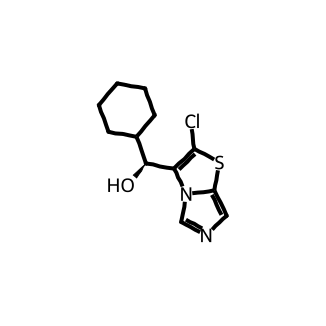 O[C@H](c1c(Cl)sc2cncn12)C1CCCCC1